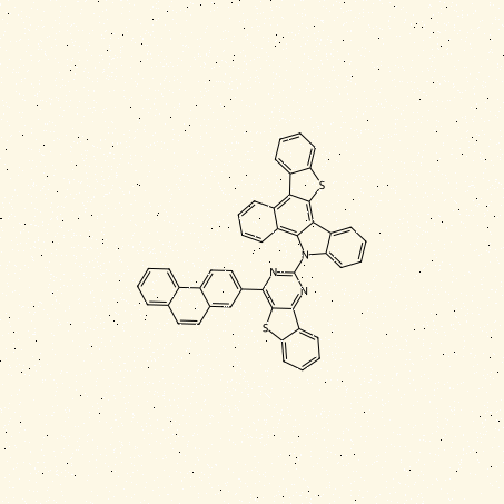 c1ccc2c(c1)ccc1cc(-c3nc(-n4c5ccccc5c5c6sc7ccccc7c6c6ccccc6c54)nc4c3sc3ccccc34)ccc12